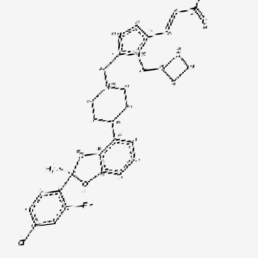 C[C@@]1(c2ccc(Cl)cc2F)Oc2cccc(C3CCN(Cc4ncc(/C=C/C(=O)O)n4C[C@@H]4CCO4)CC3)c2O1